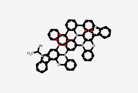 CC(C)C(C)n1c2ccccc2c2c3c4c(cc21)N(c1ccccc1)c1cc2c(cc1B4c1ccccc1O3)B1c3ccccc3Oc3c1c(cc1oc4ccccc4c31)N2c1c(-c2ccccc2)cccc1-c1ccccc1